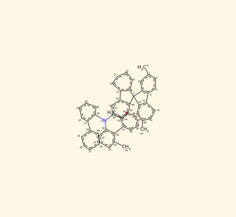 Cc1ccc2c(c1)C1(c3ccccc3-c3cc(N(c4ccccc4-c4ccccc4)c4cccc(C)c4-c4ccccc4C)ccc31)c1cc(C)ccc1-2